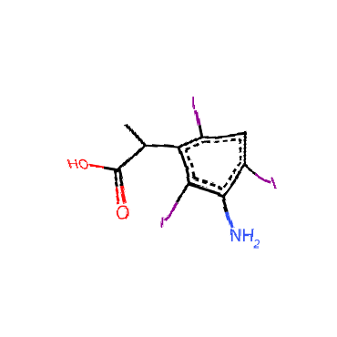 CC(C(=O)O)c1c(I)cc(I)c(N)c1I